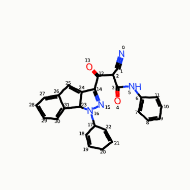 N#CC(C(=O)Nc1ccccc1)C(=O)C1=NN(C2C=CCC=C2)C2C1=Cc1ccccc12